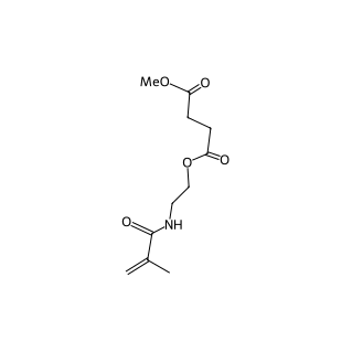 C=C(C)C(=O)NCCOC(=O)CCC(=O)OC